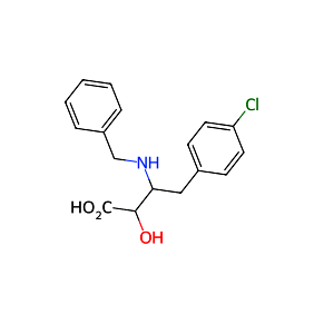 O=C(O)C(O)C(Cc1ccc(Cl)cc1)NCc1ccccc1